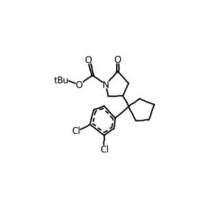 CC(C)(C)OC(=O)N1CC(C2(c3ccc(Cl)c(Cl)c3)CCCC2)CC1=O